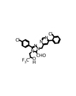 O=CC1N(Cc2cc(-c3ccccc3Cl)ncn2)N=C(c2ccc(Cl)cc2)N1C[C@H](O)C(F)(F)F